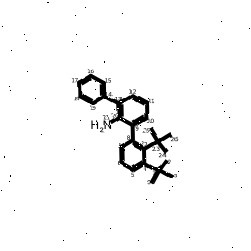 CC(C)(C)c1cccc(-c2cccc(-c3ccccc3)c2N)c1C(C)(C)C